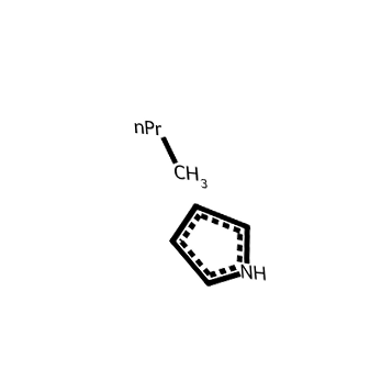 CCCC.c1cc[nH]c1